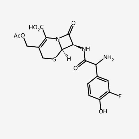 CC(=O)OCC1=C(C(=O)O)N2C(=O)[C@@H](NC(=O)C(N)c3ccc(O)c(F)c3)[C@H]2SC1